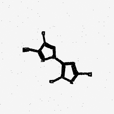 CCc1nn(-c2[c]c(Cl)sc2Cl)cc1Cl